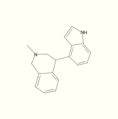 CN1Cc2ccccc2C(c2cccc3[nH]ccc23)C1